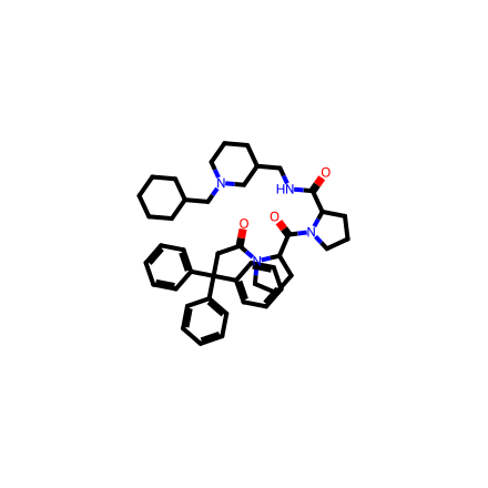 O=C(NCC1CCCN(CC2CCCCC2)C1)C1CCCN1C(=O)C1CCCN1C(=O)CC(c1ccccc1)(c1ccccc1)c1ccccc1